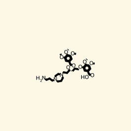 COc1cc(C(=O)O[C@H](CCCOc2cc(C(=O)O)cc(OC)c2OC)CCN2CCCN(CCCN)CC2)cc(OC)c1OC